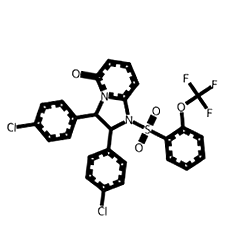 O=c1cccc2n1C(c1ccc(Cl)cc1)C(c1ccc(Cl)cc1)N2S(=O)(=O)c1ccccc1OC(F)(F)F